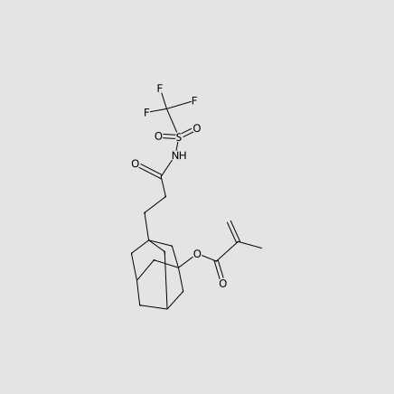 C=C(C)C(=O)OC12CC3CC(CC(CCC(=O)NS(=O)(=O)C(F)(F)F)(C3)C1)C2